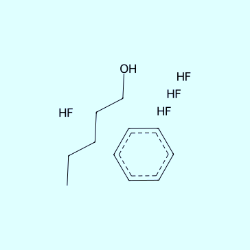 CCCCCO.F.F.F.F.c1ccccc1